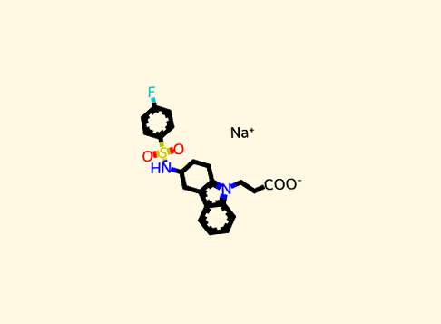 O=C([O-])CCn1c2c(c3ccccc31)CC(NS(=O)(=O)c1ccc(F)cc1)CC2.[Na+]